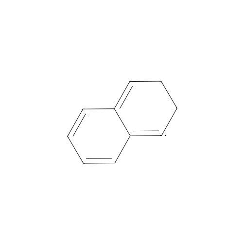 [C]1=c2ccccc2=CCC1